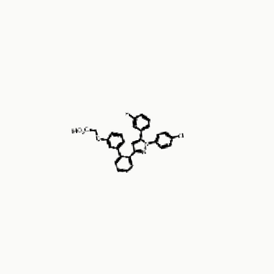 O=C(O)COc1cccc(-c2ccccc2-c2cc(-c3cccc(F)c3)n(-c3ccc(Cl)cc3)n2)c1